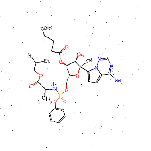 CCCCCCCCCCCCCC(=O)O[C@H]1[C@@H](O)[C@](C#N)(c2ccc3c(N)ncnn23)O[C@@H]1COP(=O)(N[C@H](C)C(=O)OCC(CC)CC)Oc1ccccc1